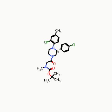 Cc1ccc(N2CCN(C(=O)CN(C)C(=O)OC(C)(C)C)C[C@H]2c2ccc(Cl)cc2)c(Cl)c1